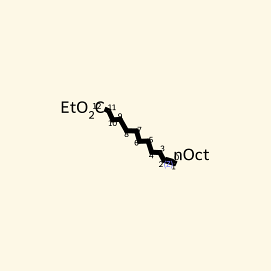 CCCCCCCC/C=C\CCCCCCCCCC(=O)OCC